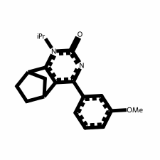 COc1cccc(-c2nc(=O)n(C(C)C)c3c2C2CCC3C2)c1